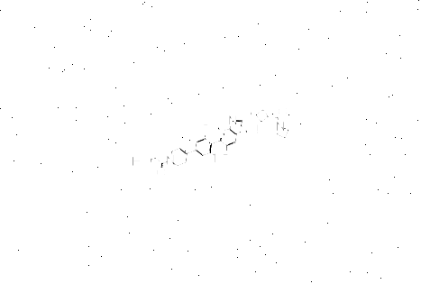 O=C(CO)N1CC=C(c2cc(F)c(-c3nc4nc(O[C@H]5C[C@@H](C(=O)N6CCC6)C5)[nH]c4cc3F)c(F)c2)CC1